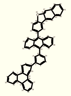 c1cc(-c2ccc3c4ccccc4c4ccccc4c3c2)cc(-c2c3ccccc3c(-c3ccc4oc5cc6ccccc6cc5c4c3)c3ccccc23)c1